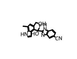 Cc1cc(CO)c(C(O)(F)c2nc3cc(C#N)ccc3[nH]2)c2cc[nH]c12